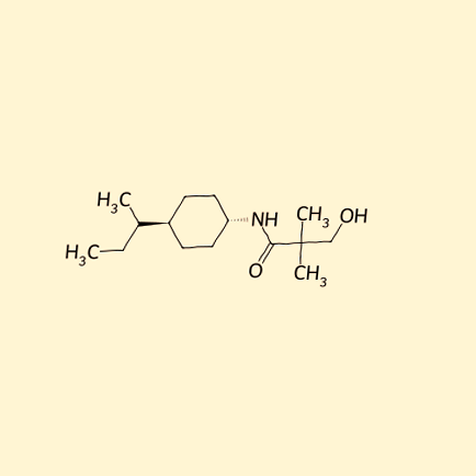 CCC(C)[C@H]1CC[C@H](NC(=O)C(C)(C)CO)CC1